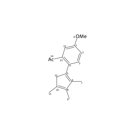 COc1ccc(C2=C(C)C(C)=C(C)C2)c(C(C)=O)c1